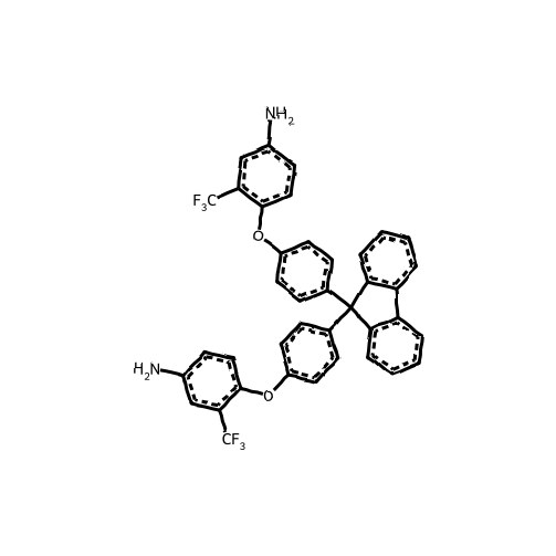 Nc1ccc(Oc2ccc(C3(c4ccc(Oc5ccc(N)cc5C(F)(F)F)cc4)c4ccccc4-c4ccccc43)cc2)c(C(F)(F)F)c1